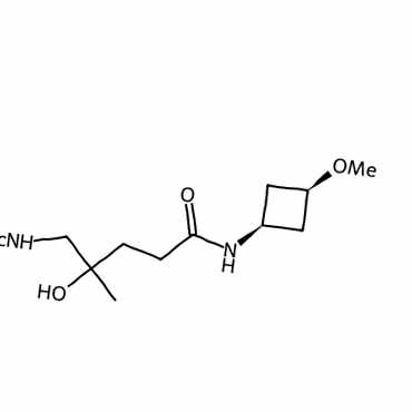 CO[C@H]1C[C@@H](NC(=O)CCC(C)(O)CNC(C)=O)C1